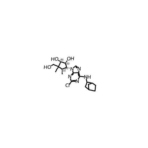 C[C@@H]1[C@@H](n2cnc3c(NC4CC5CCC4C5)nc(Cl)nc32)[C@H](O)[C@H](O)C1(C)CO